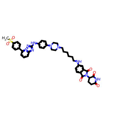 CS(=O)(=O)c1ccc(-c2cccc3nc(Nc4ccc(N5CCN(CCCCCCNc6ccc7c(c6)C(=O)N(C6CCC(=O)NC6=O)C7=O)CC5)cc4)nn23)cc1